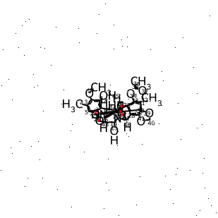 COc1c(C)cc2c(c1O)[C@H]1N[C@H](C2)[C@H](O)N2[C@H]1[C@@H]1SCC(=O)C(=O)OC[C@H]2c2c3c(c(C)c(OC(C)=O)c21)OCO3